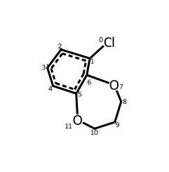 Clc1c[c]cc2c1OCCCO2